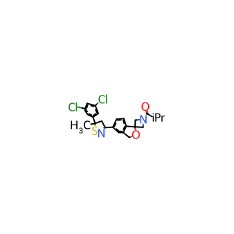 CC(C)C(=O)N1CC2(C1)OCc1cc(C3=NSC(C)(c4cc(Cl)cc(Cl)c4)C3)ccc12